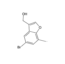 [CH2]c1cc(Br)cc2c(CO)coc12